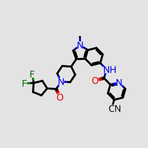 Cn1cc(C2CCN(C(=O)C3CCC(F)(F)C3)CC2)c2cc(NC(=O)c3cc(C#N)ccn3)ccc21